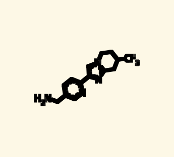 NCc1ccc(-c2cn3c(n2)CC(C(F)(F)F)CC3)nc1